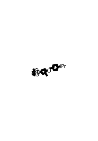 Cc1cc(B2OC(C)(C)C(C)(C)O2)ccc1OCc1ccc(C(C)C)cc1